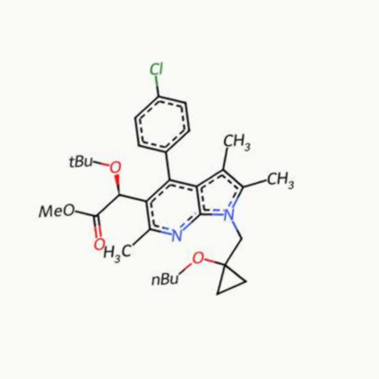 CCCCOC1(Cn2c(C)c(C)c3c(-c4ccc(Cl)cc4)c([C@H](OC(C)(C)C)C(=O)OC)c(C)nc32)CC1